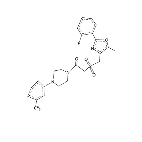 Cc1oc(-c2ccccc2F)nc1CS(=O)(=O)CC(=O)N1CCN(c2cccc(C(F)(F)F)c2)CC1